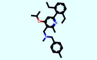 CCc1cccc(CC)c1-c1cc(OC(C)C)c(CN(C)Cc2ccc(C)cc2)c(C)n1